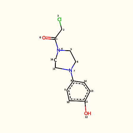 O=C(CCl)N1CCN(c2ccc(O)cc2)CC1